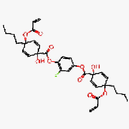 C=CC(=O)OC1(CCCC)C=CC(O)(C(=O)Oc2ccc(OC(=O)C3(O)C=CC(CCCC)(OC(=O)C=C)C=C3)c(F)c2)C=C1